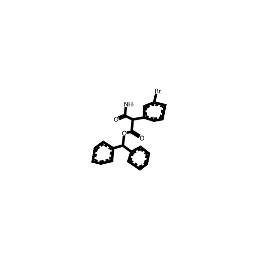 [NH]C(=O)C(C(=O)OC(c1ccccc1)c1ccccc1)c1cccc(Br)c1